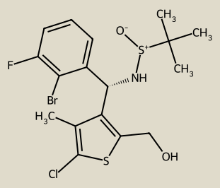 Cc1c(Cl)sc(CO)c1[C@@H](N[S+]([O-])C(C)(C)C)c1cccc(F)c1Br